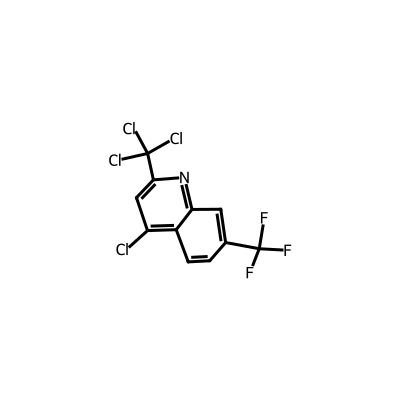 FC(F)(F)c1ccc2c(Cl)cc(C(Cl)(Cl)Cl)nc2c1